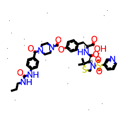 CCCNC(=O)Nc1ccc(C(=O)N2CCN(C(=O)Oc3ccc(C[C@H](NC(=O)[C@H]4N(S(=O)(=O)c5cccnc5)CSC4(C)C)C(=O)O)cc3)CC2)cc1